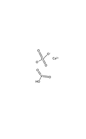 [Ca+2].[O]=[Cr](=[O])([O-])[O-].[O]=[V](=[O])[OH]